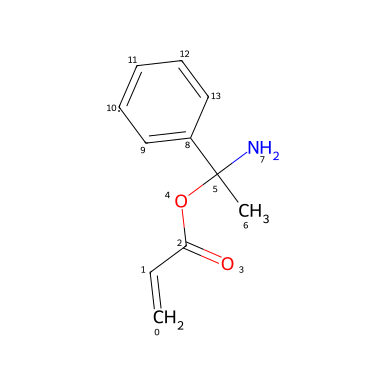 C=CC(=O)OC(C)(N)c1c[c]ccc1